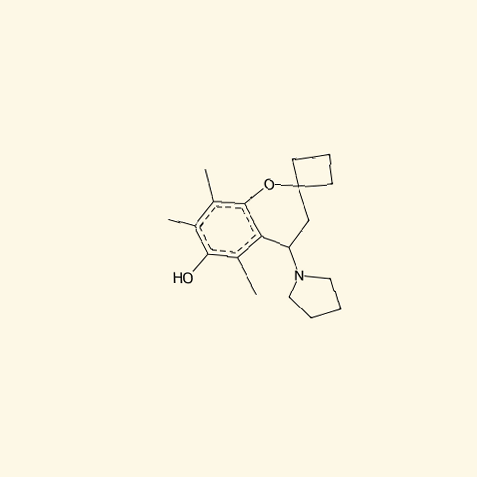 Cc1c(C)c2c(c(C)c1O)C(N1CCCC1)CC1(CCC1)O2